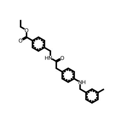 CCOC(=O)c1ccc(CNC(=O)Cc2ccc(NCc3cccc(C)c3)cc2)cc1